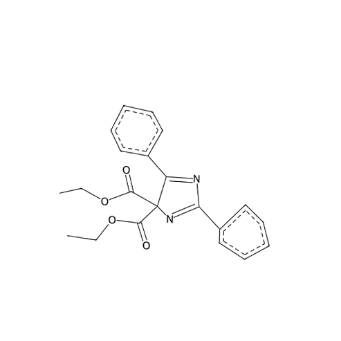 CCOC(=O)C1(C(=O)OCC)N=C(c2ccccc2)N=C1c1ccccc1